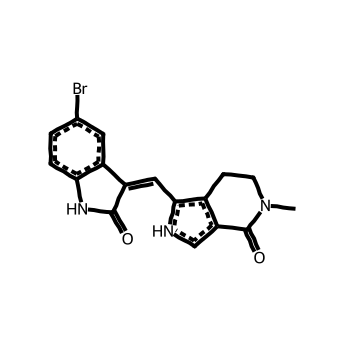 CN1CCc2c(c[nH]c2C=C2C(=O)Nc3ccc(Br)cc32)C1=O